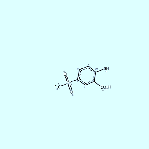 O=C(O)c1cc(S(=O)(=O)C(F)(F)F)ccc1S